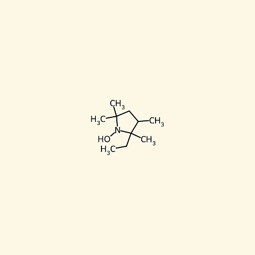 CCC1(C)C(C)CC(C)(C)N1O